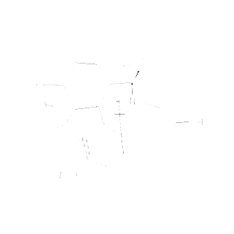 C=CCN1CC[C@@]23C4C5=C(O)C=CC4C[C@@H]1[C@]2(O)CCC(C)[C@@H]3O5